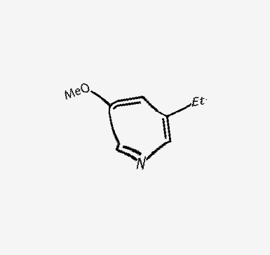 C[CH]c1cncc(OC)c1